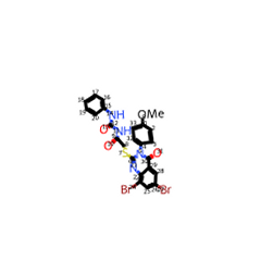 COc1ccc(-n2c(SCC(=O)NC(=O)Nc3ccccc3)nc3c(Br)cc(Br)cc3c2=O)cc1